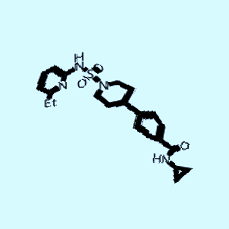 CCc1cccc(NS(=O)(=O)N2CCC(c3ccc(C(=O)NC4CC4)cc3)CC2)n1